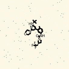 Cc1ccc(NC(=O)N2CC[C@@H](CC(F)(F)F)C2)cc1-c1cc(NC(C)(C)C)nc(N2CCOCC2)c1